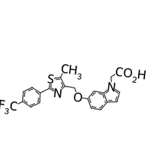 Cc1sc(-c2ccc(C(F)(F)F)cc2)nc1COc1ccc2ccn(CC(=O)O)c2c1